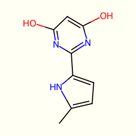 Cc1ccc(-c2nc(O)cc(O)n2)[nH]1